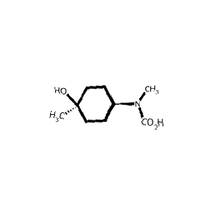 CN(C(=O)O)[C@H]1CC[C@@](C)(O)CC1